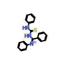 S=C(N/C(=N\c1ccccc1)c1ccccc1)Nc1ccccc1